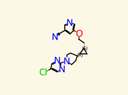 N#Cc1cncc(OCC[C@@H]2C[C@@H]2C2CCN(c3ncc(Cl)cn3)CC2)c1